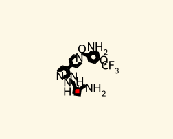 NCC12CC(C1)O[C@@H]2c1nc2c(C3CCN(C(=O)c4ccc(OC(F)(F)F)cc4N)CC3)ccnc2[nH]1